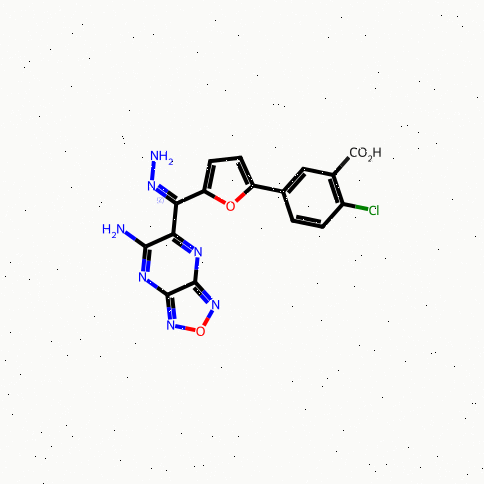 N/N=C(\c1ccc(-c2ccc(Cl)c(C(=O)O)c2)o1)c1nc2nonc2nc1N